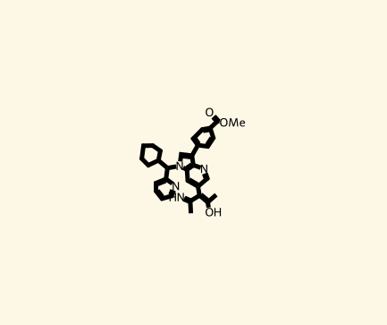 COC(=O)c1ccc(-c2cn(C(c3ccccn3)C3CCCCC3)c3cc(/C(C(C)=N)=C(\C)O)cnc23)cc1